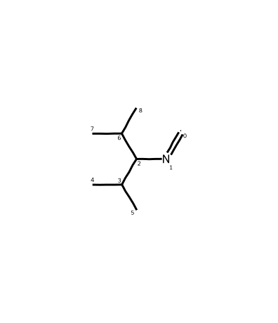 [CH]=NC(C(C)C)C(C)C